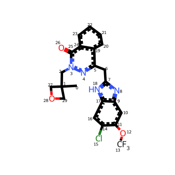 CC1(Cn2nc(Cc3nc4cc(OC(F)(F)F)c(Cl)cc4[nH]3)c3ccccc3c2=O)COC1